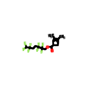 CC1C2CC(C(=O)OCC(F)(F)C(F)(F)CCC(F)(F)C(F)F)C(C2)C1C